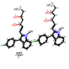 CC(C)n1c(/C=C/[C@@H](O)C[C@@H](O)CC(=O)O)c(-c2ccc(F)cc2)c2ccccc21.CC(C)n1c(/C=C/[C@@H](O)C[C@@H](O)CC(=O)O)c(-c2ccc(F)cc2)c2ccccc21.[NaH].[NaH]